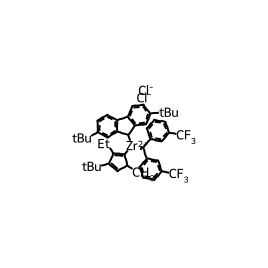 CCC1=[C]([Zr+2](=[C](c2cccc(C(F)(F)F)c2)c2cccc(C(F)(F)F)c2)[CH]2c3cc(C(C)(C)C)ccc3-c3ccc(C(C)(C)C)cc32)C(C)C=C1C(C)(C)C.[Cl-].[Cl-]